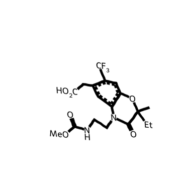 CCC1(C)Oc2cc(C(F)(F)F)c(CC(=O)O)cc2N(CCNC(=O)OC)C1=O